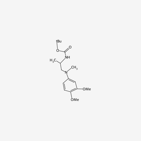 COc1ccc(N(C)CC(C)NC(=O)OC(C)(C)C)cc1OC